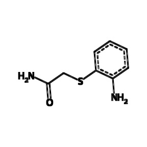 NC(=O)CSc1ccccc1N